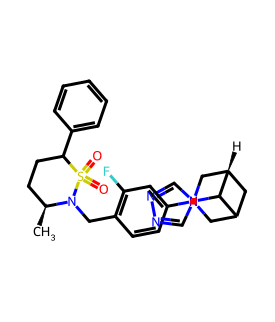 C[C@H]1CCC(c2ccccc2)S(=O)(=O)N1Cc1ccc(N2CC3C[C@@H](C2)C3n2cnnc2)cc1F